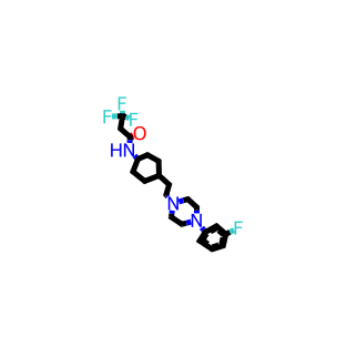 O=C(CC(F)(F)F)NC1CCC(CCN2CCN(c3cccc(F)c3)CC2)CC1